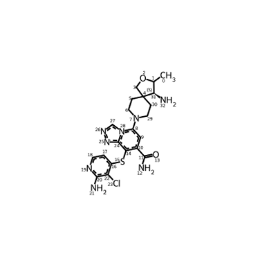 CC1OCC2(CCN(c3cc(C(N)=O)c(Sc4ccnc(N)c4Cl)c4nncn34)CC2)[C@@H]1N